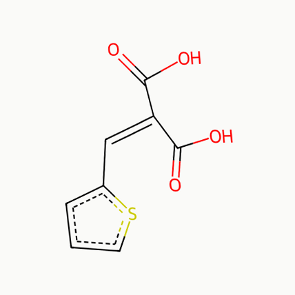 O=C(O)C(=Cc1cccs1)C(=O)O